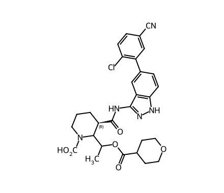 CC(OC(=O)C1CCOCC1)C1[C@H](C(=O)Nc2n[nH]c3ccc(-c4cc(C#N)ccc4Cl)cc23)CCCN1C(=O)O